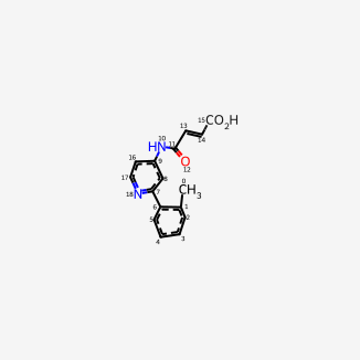 Cc1ccccc1-c1cc(NC(=O)C=CC(=O)O)ccn1